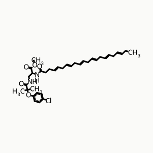 CCC=CCC=CCC=CCC=CCC=CCC=CCCC(=O)NC(CNC(=O)C(C)(C)Oc1ccc(Cl)cc1)C(=O)OC